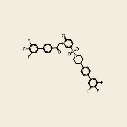 O=C(Cn1cc(S(=O)(=O)N2CCC(c3ccc(-c4cc(F)c(F)c(F)c4)cc3)CC2)ccc1=O)c1ccc(-c2cc(F)c(F)c(F)c2)cc1